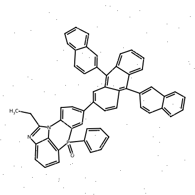 CCc1nc2cccc3c2n1-c1ccc(-c2ccc4c(-c5ccc6ccccc6c5)c5ccccc5c(-c5ccc6ccccc6c5)c4c2)cc1P3(=O)c1ccccc1